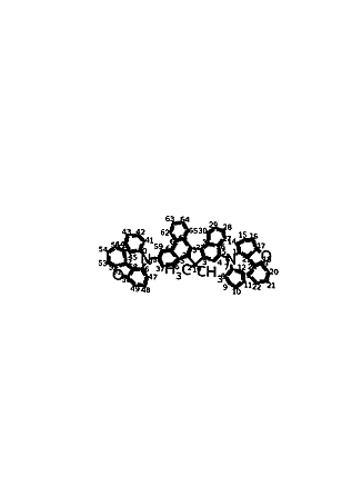 CC1(C)c2cc(N(c3ccccc3)c3cccc4oc5ccccc5c34)c3ccccc3c2-c2c1c1ccc(N(c3ccccc3)c3cccc4oc5ccccc5c34)cc1c1ccccc21